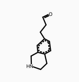 O=CCCc1ccc2c(c1)CNCC2